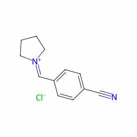 N#Cc1ccc(C=[N+]2CCCC2)cc1.[Cl-]